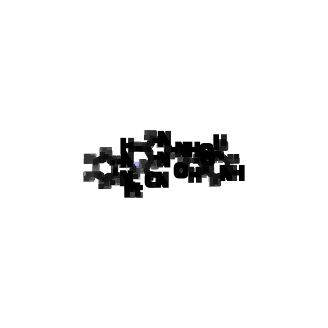 CCN1/C(=C(\C#N)c2nc(NC(=O)C3O[C@@H]4CNC[C@H]3O4)ncc2C)Nc2ccccc21